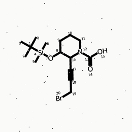 CC(C)(C)[Si](C)(C)OC1CCCN(C(=O)O)C1C#CCBr